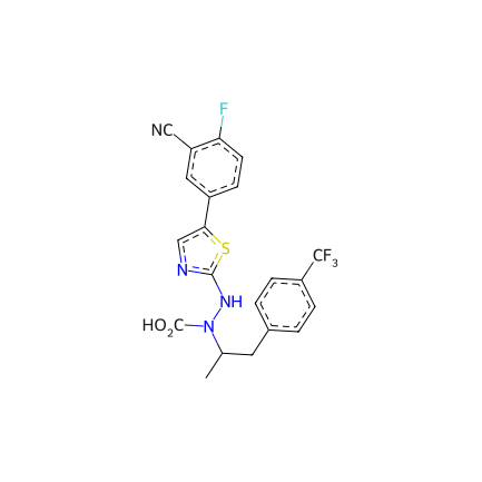 CC(Cc1ccc(C(F)(F)F)cc1)N(Nc1ncc(-c2ccc(F)c(C#N)c2)s1)C(=O)O